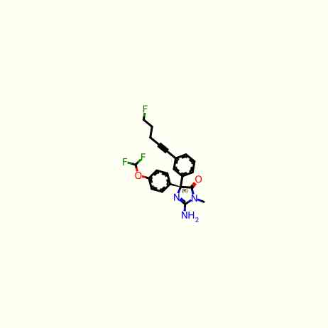 CN1C(=O)[C@@](c2ccc(OC(F)F)cc2)(c2cccc(C#CCCCF)c2)N=C1N